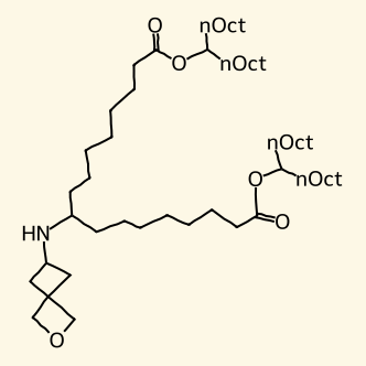 CCCCCCCCC(CCCCCCCC)OC(=O)CCCCCCCC(CCCCCCCC(=O)OC(CCCCCCCC)CCCCCCCC)NC1CC2(COC2)C1